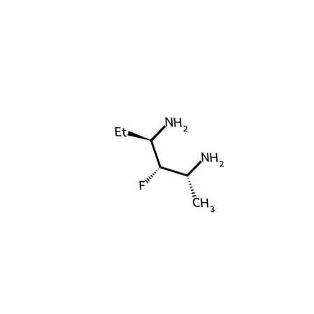 CC[C@@H](N)[C@@H](F)[C@@H](C)N